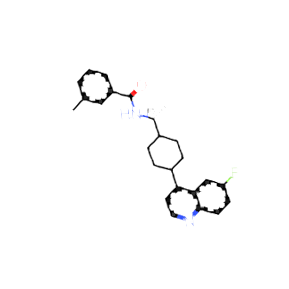 Cc1cccc(C(=O)N[C@H](C)C2CCC(c3ccnc4ccc(F)cc34)CC2)c1